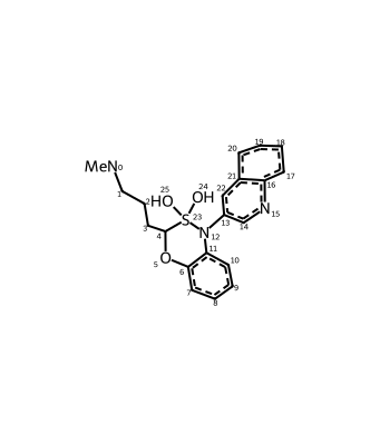 CNCCCC1Oc2ccccc2N(c2cnc3ccccc3c2)S1(O)O